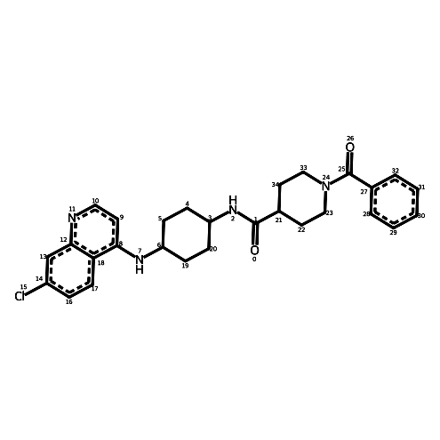 O=C(NC1CCC(Nc2ccnc3cc(Cl)ccc23)CC1)C1CCN(C(=O)c2ccccc2)CC1